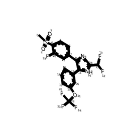 CS(=O)(=O)c1ccc(-c2nc(C(F)F)[nH]c2-c2cccc(OC(F)(F)F)c2)cc1F